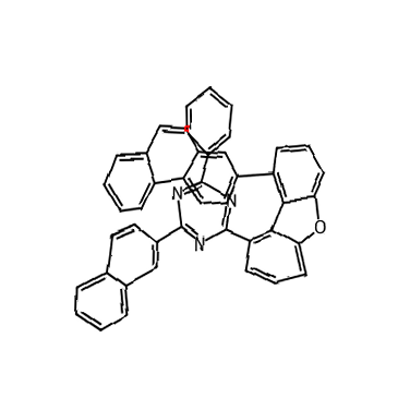 c1ccc(-c2nc(-c3ccc4ccccc4c3)nc(-c3cccc4oc5cccc(-c6ccc7c(ccc8ccccc87)c6)c5c34)n2)cc1